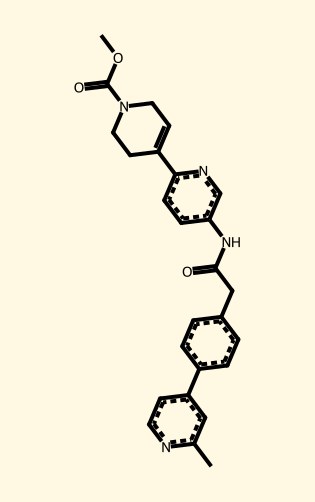 COC(=O)N1CC=C(c2ccc(NC(=O)Cc3ccc(-c4ccnc(C)c4)cc3)cn2)CC1